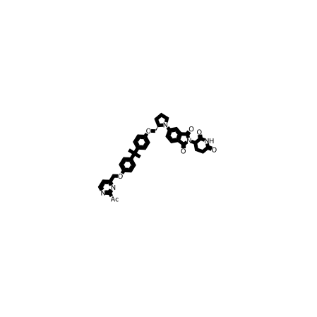 CC(=O)c1nccc(COc2ccc(C(C)(C)c3ccc(OC[C@@H]4CCCN4c4ccc5c(c4)C(=O)N(C4CCC(=O)NC4=O)C5=O)cc3)cc2)n1